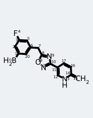 Bc1cc(F)cc(Cc2nc(C3=CNC(=C)C=C3)no2)c1